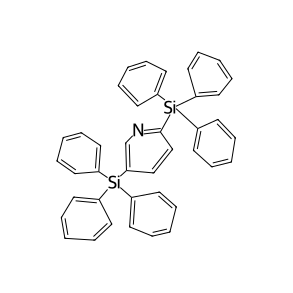 c1ccc([Si](c2ccccc2)(c2ccccc2)c2ccc([Si](c3ccccc3)(c3ccccc3)c3ccccc3)nc2)cc1